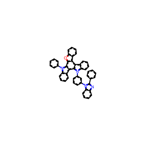 c1ccc(-c2nc3ccccc3n2-c2cccc(-n3c4ccccc4c4c5c6ccccc6oc5c5c(c6ccccc6n5-c5ccccc5)c43)c2)cc1